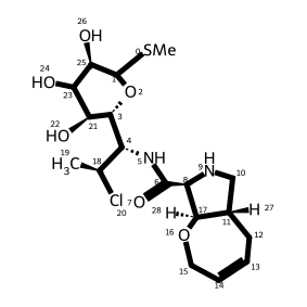 CSC1O[C@H]([C@H](NC(=O)[C@H]2NC[C@@H]3CC=CCO[C@H]32)[C@H](C)Cl)[C@@H](O)C(O)[C@H]1O